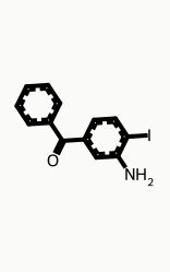 Nc1cc(C(=O)c2ccccc2)ccc1I